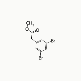 COC(=O)Cc1cc(Br)cc(Br)c1